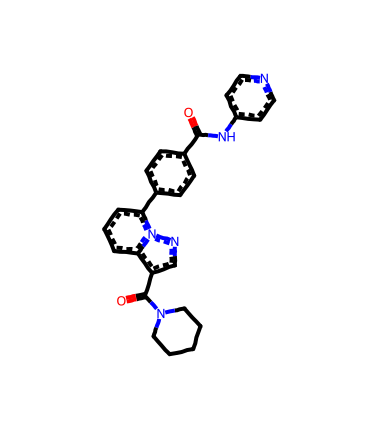 O=C(Nc1ccncc1)c1ccc(-c2cccc3c(C(=O)N4CCCCC4)cnn23)cc1